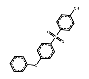 O=S(=O)(c1ccc(O)cc1)c1ccc(Oc2ccccc2)cc1